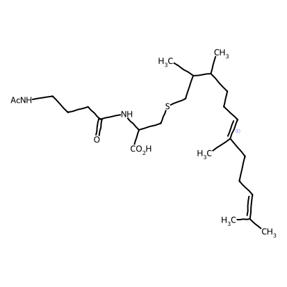 CC(=O)NCCCC(=O)NC(CSCC(C)C(C)CC/C=C(\C)CCC=C(C)C)C(=O)O